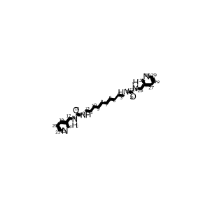 O=C(NCCCCCCCCCCNC(=O)NCc1cccnc1)NCc1cccnc1